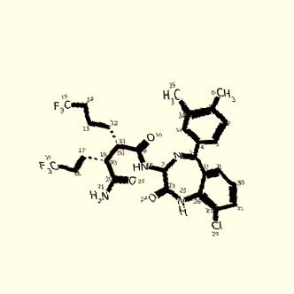 Cc1ccc(C2=NC(NC(=O)[C@@H](CCCC(F)(F)F)[C@@H](CCC(F)(F)F)C(N)=O)C(=O)Nc3c(Cl)cccc32)cc1C